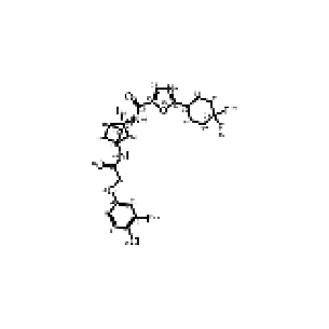 O=C(COc1ccc(Cl)c(F)c1)NC12CC(C1)[C@H](NC(=O)c1cnc(C3CCC(F)(F)CC3)o1)C2